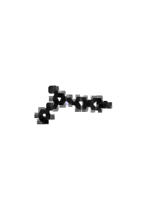 CC(=O)N1CCN(c2ccc(/C=C/c3cc(Cl)cc(COc4cccnc4)c3)cc2)CC1